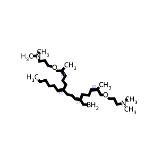 BC/C(=C/CC/C(=C/CCCCC)CC/C=C(/C)COCCCN(C)C)CC/C=C(/C)COCCCN(C)C